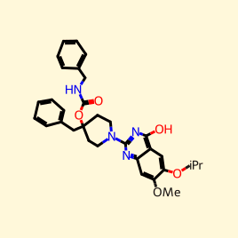 COc1cc2nc(N3CCC(Cc4ccccc4)(OC(=O)NCc4ccccc4)CC3)nc(O)c2cc1OC(C)C